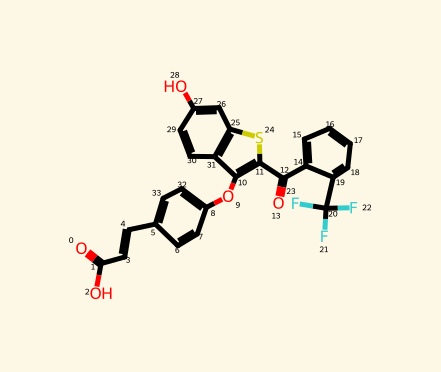 O=C(O)C=Cc1ccc(Oc2c(C(=O)c3ccccc3C(F)(F)F)sc3cc(O)ccc23)cc1